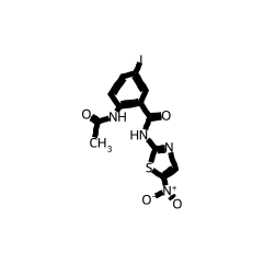 CC(=O)Nc1ccc(I)cc1C(=O)Nc1ncc([N+](=O)[O-])s1